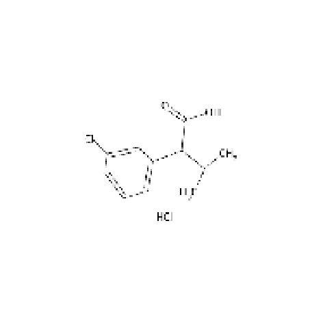 CC(C)C(C(=O)O)c1cccc(Cl)c1.Cl